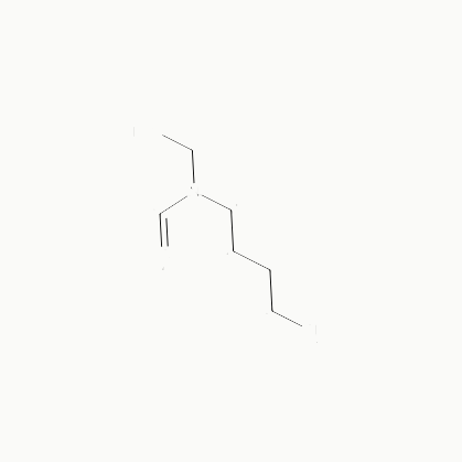 [CH2]CN(C=O)CCCCC